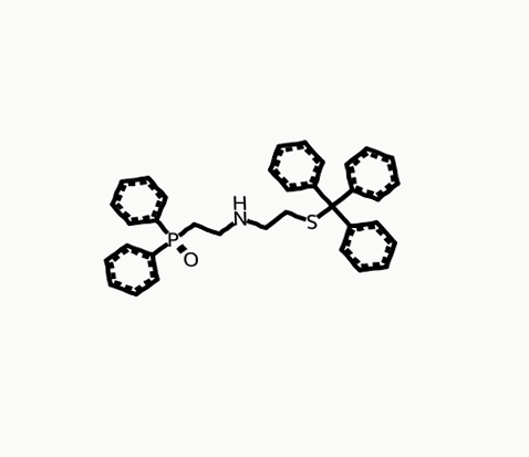 O=P(CCNCCSC(c1ccccc1)(c1ccccc1)c1ccccc1)(c1ccccc1)c1ccccc1